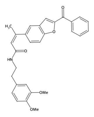 COc1ccc(CCNC(=O)/C=C(/C)c2ccc3oc(C(=O)c4ccccc4)cc3c2)cc1OC